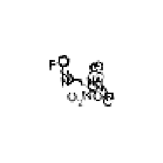 O=c1c([N+](=O)[O-])c(/C=C/c2cnn(Cc3ccccc3F)c2)n(Cc2ccoc2)c(=O)n1Cc1ccoc1